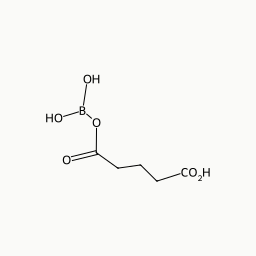 O=C(O)CCCC(=O)OB(O)O